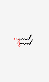 CCCC/C=C\CCCCCCCC(=O)O.CCCC/C=C\CCCCCCCC(=O)O